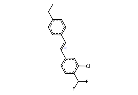 CCc1ccc(/C=C/c2ccc(C(F)F)c(Cl)c2)cc1